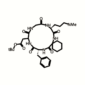 CNCCC[C@@H]1NC(=O)CNC(=O)C(CC(=O)OC(C)(C)C)NC(=O)[C@@H](Cc2ccccc2)NC(=O)C2(CCCCC2)NC1=O